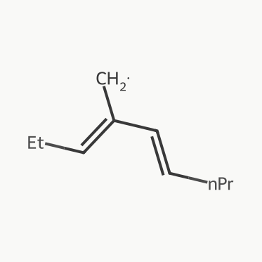 [CH2]C(C=CCCC)=CCC